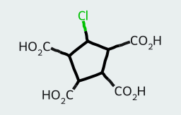 O=C(O)C1C(Cl)C(C(=O)O)C(C(=O)O)C1C(=O)O